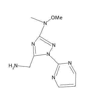 CON(C)c1nc(CN)n(-c2ncccn2)n1